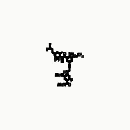 CNC(=O)c1cc(OC)c(NCC#Cc2cc(C(=O)N[C@H]3[C@H](C)CN(CCC(F)F)CC3(F)F)c3ncn(CC(F)(F)F)c3c2)cc1F